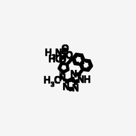 CN(c1ncnc2[nH]c(-c3cccc4ccccc34)nc12)[C@H]1CC(O)C(COS(N)(=O)=O)C1